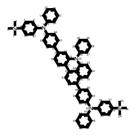 C[Si](C)(C)c1ccc(N(c2ccccc2)c2ccc(-c3ccc4c(c3)N(c3ccccc3)c3cccc5c(-c6ccc(N(c7ccccc7)c7ccc([Si](C)(C)C)cc7)cc6)ccc-4c35)cc2)cc1